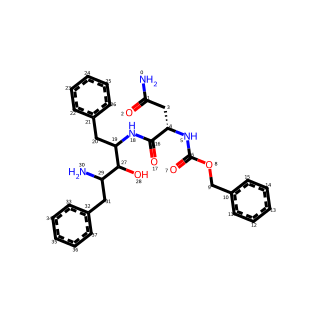 NC(=O)C[C@H](NC(=O)OCc1ccccc1)C(=O)NC(Cc1ccccc1)C(O)C(N)Cc1ccccc1